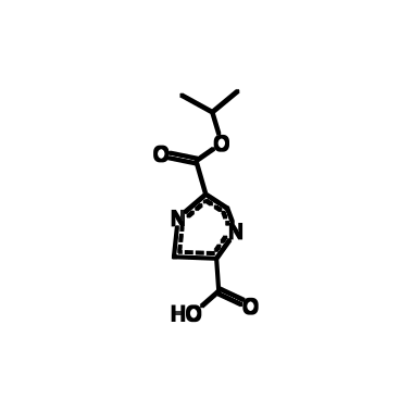 CC(C)OC(=O)c1cnc(C(=O)O)cn1